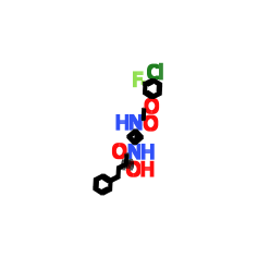 O=C(COc1ccc(Cl)c(F)c1)NC12CC(NC(=O)[C@H](O)CCc3ccccc3)(C1)C2